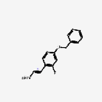 CCCCCC/C=C/c1ccc(OCc2ccccc2)cc1F